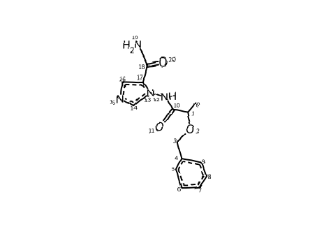 CC(OCc1ccccc1)C(=O)Nn1cncc1C(N)=O